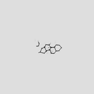 CC1C[C@H]2[C@@H]3CCC4CCCC[C@]4(C)[C@@]3(F)C(O)C[C@]2(C)[C@H]1C(O)CO